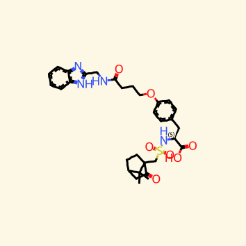 CC1(C)C2CCC1(CS(=O)(=O)N[C@@H](Cc1ccc(OCCCC(=O)NCc3nc4ccccc4[nH]3)cc1)C(=O)O)C(=O)C2